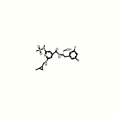 CC1CC1CNc1cc(C(=O)N[C@H](CO)Cc2cc(F)cc(F)c2)cc(N(C)S(C)(=O)=O)n1